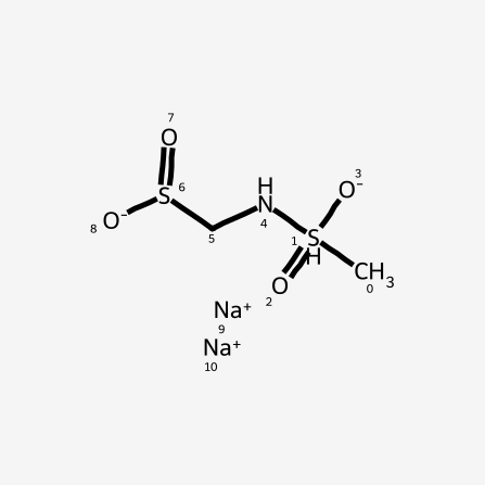 C[SH](=O)([O-])NCS(=O)[O-].[Na+].[Na+]